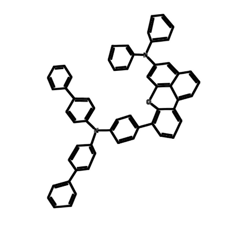 c1ccc(-c2ccc(N(c3ccc(-c4ccccc4)cc3)c3ccc(-c4cccc5c4Oc4cc(N(c6ccccc6)c6ccccc6)cc6cccc-5c46)cc3)cc2)cc1